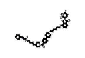 O=C(/C=C/c1cccnc1)NCCCCC1CCN(C(=O)c2ccc(C3CCN(CCCCCCSc4cccc5c4CN(C4CCC(=O)NC4=O)C5=O)CC3)cc2)CC1